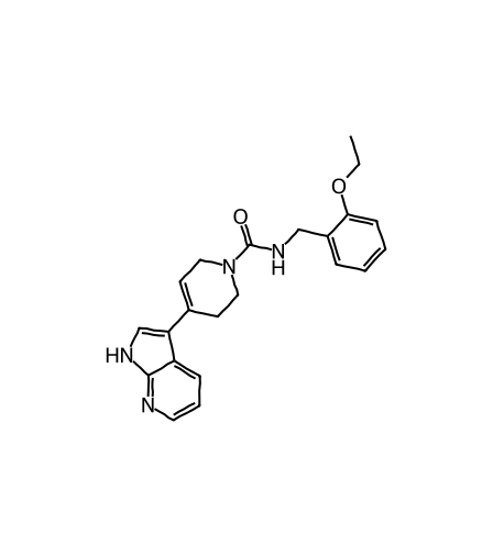 CCOc1ccccc1CNC(=O)N1CC=C(c2c[nH]c3ncccc23)CC1